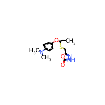 CCC(Oc1ccc(N(C)C)cc1)SCc1n[nH]c(=O)o1